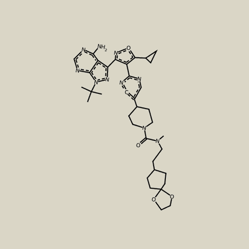 CN(CCC1CCC2(CC1)OCCO2)C(=O)N1CCC(c2cnc(-c3c(-c4nn(C(C)(C)C)c5ncnc(N)c45)noc3C3CC3)nc2)CC1